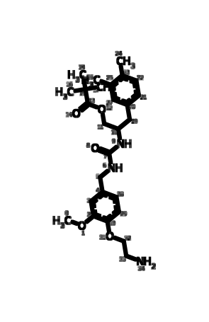 COc1cc(CNC(=O)NC(COC(=O)C(C)(C)C)Cc2ccc(C)c(C)c2)ccc1OCCN